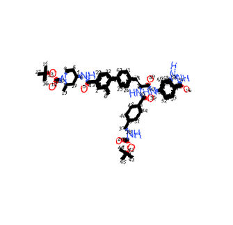 Cc1cc(C(=O)NC2CCN(C(=O)OC(C)(C)C)C(C)C2)ccc1-c1ccc(C[C@H](NC(=O)C2CCC(CNC(=O)OC(C)(C)C)CC2)C(=O)Nc2ccc3c(=O)[nH][nH]c3c2)cc1